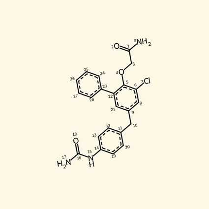 NC(=O)COc1c(Cl)cc(Cc2ccc(NC(N)=O)cc2)cc1-c1ccccc1